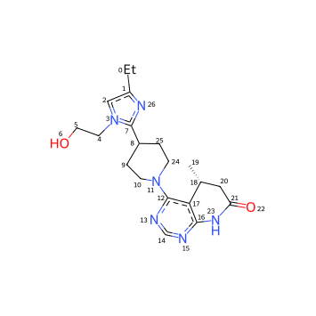 CCc1cn(CCO)c(C2CCN(c3ncnc4c3[C@H](C)CC(=O)N4)CC2)n1